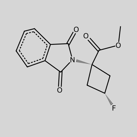 COC(=O)[C@]1(N2C(=O)c3ccccc3C2=O)C[C@@H](F)C1